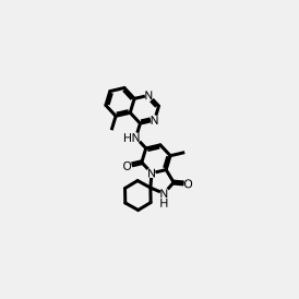 Cc1cc(Nc2ncnc3cccc(C)c23)c(=O)n2c1C(=O)NC21CCCCC1